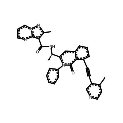 Cc1ccncc1C#Cc1cccc2cc([C@@H](C)NC(=O)c3c(C)nn4cccnc34)n(-c3ccccc3)c(=O)c12